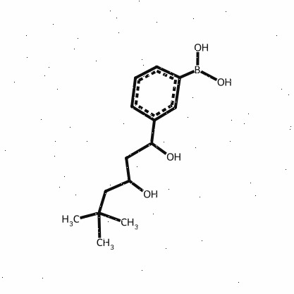 CC(C)(C)CC(O)CC(O)c1cccc(B(O)O)c1